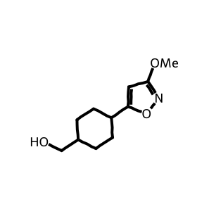 COc1cc(C2CCC(CO)CC2)on1